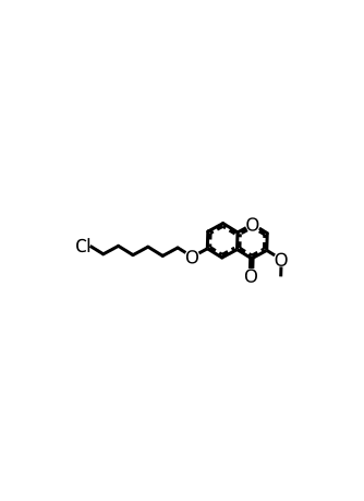 COc1coc2ccc(OCCCCCCCl)cc2c1=O